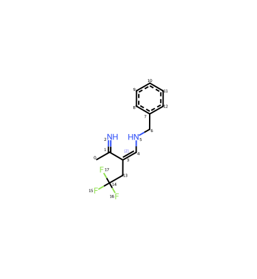 CC(=N)/C(=C\NCc1ccccc1)CC(F)(F)F